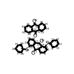 O=C1c2cccc(Sc3ccccc3)c2C(=O)c2cccc(Sc3ccccc3)c21.O=C1c2ccccc2C(=O)c2ccccc21